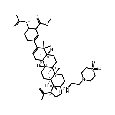 C=C(C)[C@@H]1CC[C@]2(NCCN3CCS(=O)(=O)CC3)CC[C@]3(C)[C@H](CC[C@@H]4[C@@]5(C)CC=C(C6=CC(C(=O)OC)C(NC(C)=O)CC6)C(C)(C)[C@@H]5CC[C@]43C)[C@@H]12